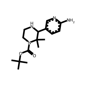 CC(C)(C)OC(=O)N1CCNC(c2ccc(N)nc2)C1(C)C